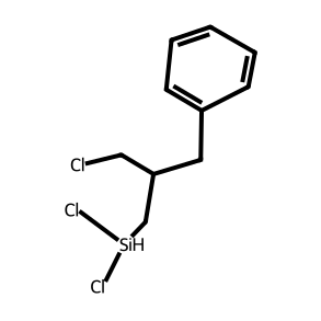 ClCC(Cc1ccccc1)C[SiH](Cl)Cl